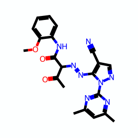 COc1ccccc1NC(=O)C(N=Nc1c(C#N)cnn1-c1nc(C)cc(C)n1)C(C)=O